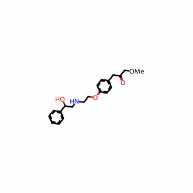 COCC(=O)Cc1ccc(OCCNCC(O)c2ccccc2)cc1